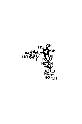 O=P(O)(O)O.O=P(O)(O)O.O=P(O)(O)O.O=P(O)(O)O.O=P(O)(O)O.Oc1c(O)c(O)c(O)c(O)c1O